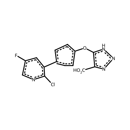 O=C(O)c1nn[nH]c1Oc1ccc(-c2cc(F)cnc2Cl)cc1